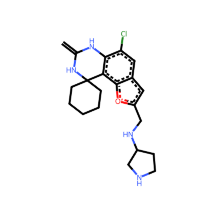 C=C1Nc2c(Cl)cc3cc(CNC4CCNC4)oc3c2C2(CCCCC2)N1